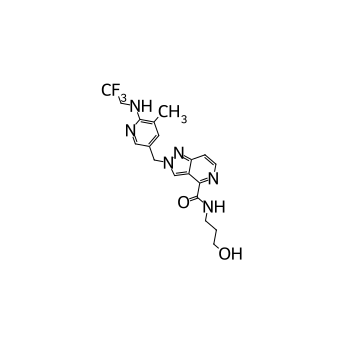 Cc1cc(Cn2cc3c(C(=O)NCCCO)nccc3n2)cnc1NCC(F)(F)F